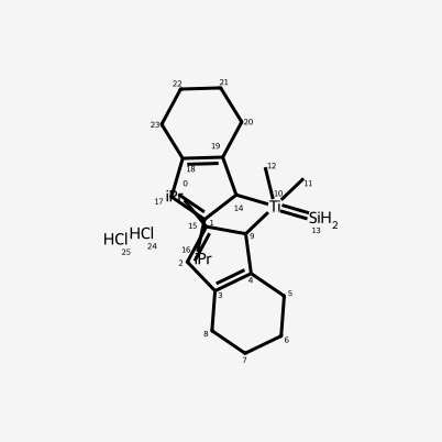 CC(C)C1=CC2=C(CCCC2)[CH]1[Ti]([CH3])([CH3])(=[SiH2])[CH]1C(C(C)C)=CC2=C1CCCC2.Cl.Cl